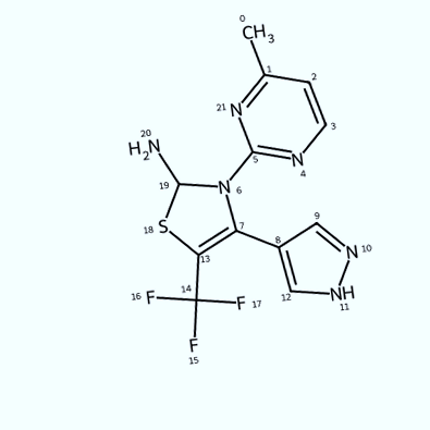 Cc1ccnc(N2C(c3cn[nH]c3)=C(C(F)(F)F)SC2N)n1